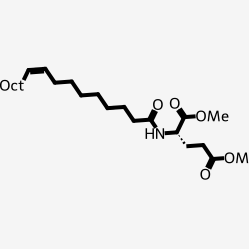 CCCCCCCC/C=C\CCCCCCCC(=O)N[C@@H](CCC(=O)OC)C(=O)OC